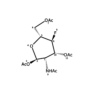 CC(=O)N[C@@H]1[C@@H](OC(C)=O)O[C@H](COC(C)=O)[C@@H](F)[C@@H]1OC(C)=O